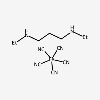 CCNCCCNCC.N#[C][Fe]([C]#N)([C]#N)([C]#N)[C]#N